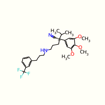 COc1cc([C@](C#N)(CCCNCCCc2cccc(C(F)(F)F)c2)C(C)C)cc(OC)c1OC